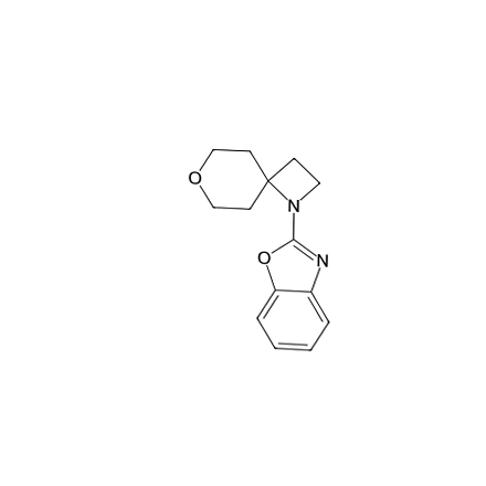 c1ccc2oc(N3CCC34CCOCC4)nc2c1